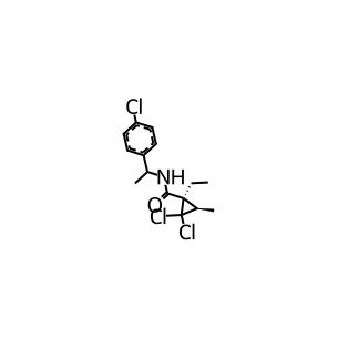 CC[C@]1(C(=O)NC(C)c2ccc(Cl)cc2)[C@@H](C)C1(Cl)Cl